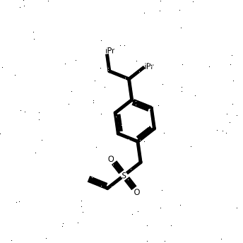 C=CS(=O)(=O)Cc1ccc(C(CC(C)C)C(C)C)cc1